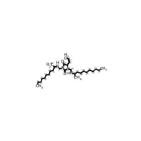 C/C=C\C1C(=O)N(CNC(C)CCCCCCCCC)C(=O)N1CNC(C)CCCCCCCCC